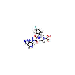 C[C@@H]1CN(C(=O)C(=O)Nc2cncc3cn[nH]c23)[C@@H](c2ccc(F)cc2)CN1C(=O)O